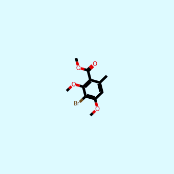 COC(=O)c1c(C)cc(OC)c(Br)c1OC